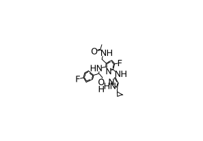 CC(=O)NCc1cc(F)c(Nc2cc(C3CC3)[nH]n2)nc1NC(CO)c1ccc(F)cc1